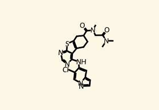 CN(C)C(=O)CN(C)C(=O)C1CCc2c(sc3ncnc(Nc4cc5ccnn5cc4Cl)c23)C1